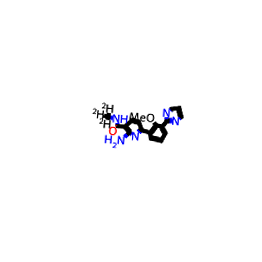 [2H]C([2H])([2H])NC(=O)c1ccc(-c2cccc(-c3ncccn3)c2OC)nc1N